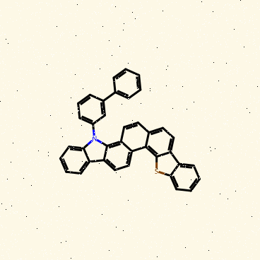 c1ccc(-c2cccc(-n3c4ccccc4c4ccc5c(ccc6ccc7c8ccccc8sc7c65)c43)c2)cc1